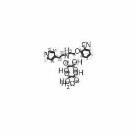 N#Cc1ccccc1OCCNCCc1ccncc1.O.O=C(O)C(=O)O.O=C(O)C(=O)O